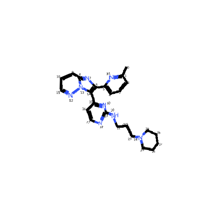 Cc1cccc(-c2nc3cccnn3c2-c2ccnc(NCCCN3CCCCC3)n2)n1